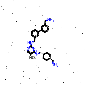 NCc1cccc(-c2cccc(CNc3ncc([N+](=O)[O-])c(NC[C@H]4CC[C@H](CN)CC4)n3)c2)c1